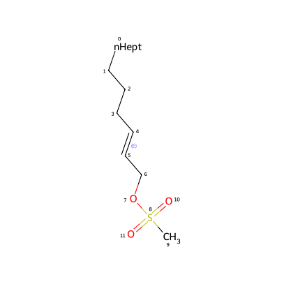 CCCCCCCCCC/C=C/COS(C)(=O)=O